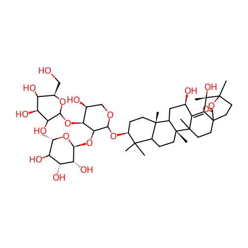 C[C@@H]1O[C@@H](OC2C(O[C@H]3CC[C@@]4(C)C(CC[C@]5(C)C4C[C@@H](O)C4=C6C7(CCC(C)(OC7=O)[C@@]6(C)O)CCC45C)C3(C)C)OC[C@H](O)[C@@H]2OC2O[C@H](CO)C(O)[C@H](O)C2O)[C@H](O)[C@H](O)C1O